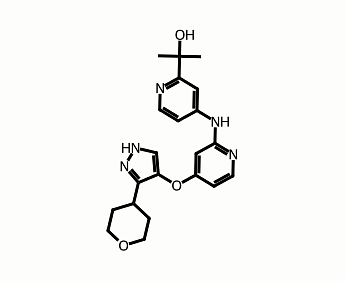 CC(C)(O)c1cc(Nc2cc(Oc3c[nH]nc3C3CCOCC3)ccn2)ccn1